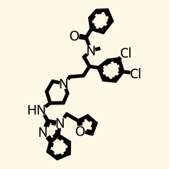 CN(CC(CCN1CCC(Nc2nc3ccccc3n2Cc2ccco2)CC1)c1ccc(Cl)c(Cl)c1)C(=O)c1ccccc1